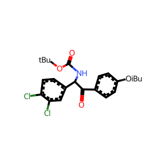 CC(C)COc1ccc(C(=O)C(NC(=O)OC(C)(C)C)c2ccc(Cl)c(Cl)c2)cc1